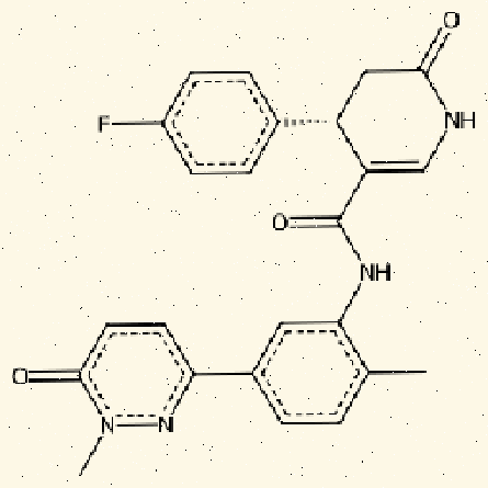 Cc1ccc(-c2ccc(=O)n(C)n2)cc1NC(=O)C1=CNC(=O)C[C@H]1c1ccc(F)cc1